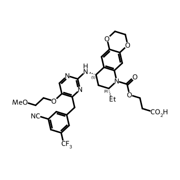 CC[C@@H]1C[C@H](Nc2ncc(OCCOC)c(Cc3cc(C#N)cc(C(F)(F)F)c3)n2)c2cc3c(cc2N1C(=O)OCCC(=O)O)OCCO3